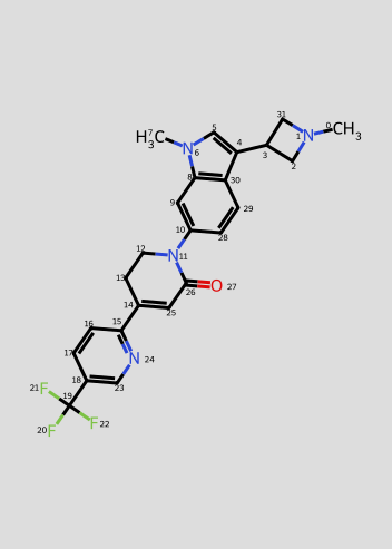 CN1CC(c2cn(C)c3cc(N4CCC(c5ccc(C(F)(F)F)cn5)=CC4=O)ccc23)C1